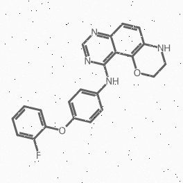 Fc1ccccc1Oc1ccc(Nc2ncnc3ccc4c(c23)OCCN4)cc1